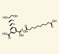 C=CC.C=CC.O=C(O)CCCCCCCCC(=O)O.O=C(O)c1cccc(C(=O)O)c1.OCCO